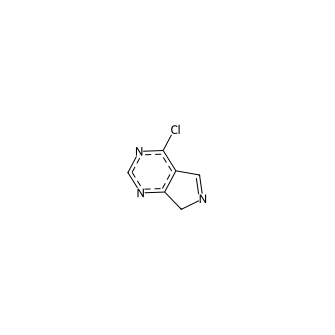 Clc1ncnc2c1C=NC2